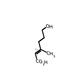 C/C(=C\C(=O)O)CCCO